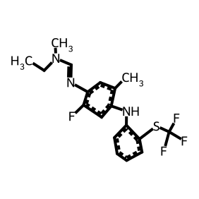 CCN(C)C=Nc1cc(C)c(Nc2ccccc2SC(F)(F)F)cc1F